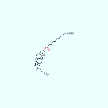 CCCCCCCCCCCCC/C=C/C=C/C=C/C(=O)O[C@H]1CC[C@@]2(C)C(=CC[C@H]3[C@@H]4CC[C@H]([C@H](C)CCCC(C)C)[C@@]4(C)CC[C@@H]32)C1